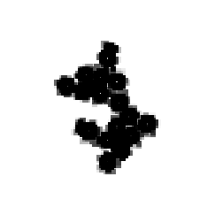 c1ccc(-c2ccc3c(c2)C(c2ccccc2)(c2ccc(Oc4ccc5c(c4)CC5)cc2)c2cc(N(c4ccccc4)c4ccc(-c5ccc(N(c6ccccc6)c6ccc7c(c6)C(c6ccccc6)(c6ccc(Oc8ccc9c(c8)CC9)cc6)c6cc(-c8ccccc8)ccc6-7)cc5)cc4)ccc2-3)cc1